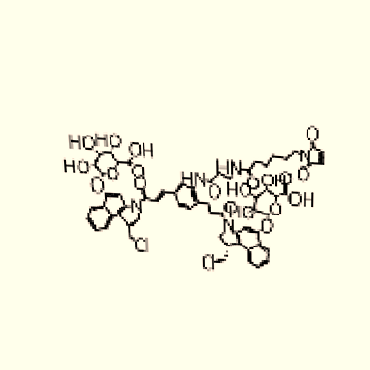 O=C(CCCCCN1C(=O)C=CC1=O)NCCC(=O)Nc1cc(/C=C/C(=O)N2C[C@@H](CCl)c3c2cc(O[C@@H]2O[C@H](C(=O)O)[C@@H](O)[C@H](O)[C@H]2O)c2ccccc32)ccc1/C=C/C(=O)N1C[C@@H](CCl)c2c1cc(O[C@@H]1O[C@H](C(=O)O)[C@@H](O)C(O)[C@H]1O)c1ccccc21